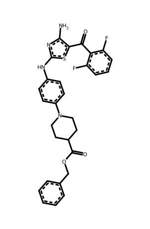 Nc1nc(Nc2ccc(N3CCC(C(=O)OCc4ccccc4)CC3)cc2)sc1C(=O)c1c(F)cccc1F